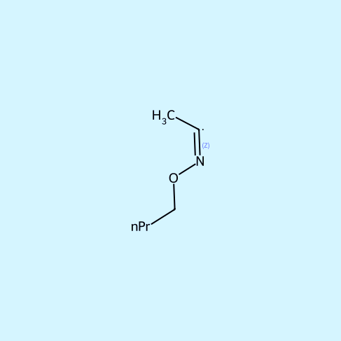 C/[C]=N\OCCCC